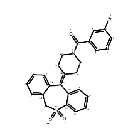 O=C(c1cncc(Br)c1)N1CCC(=C2c3ccccc3CS(=O)(=O)c3ccccc32)CC1